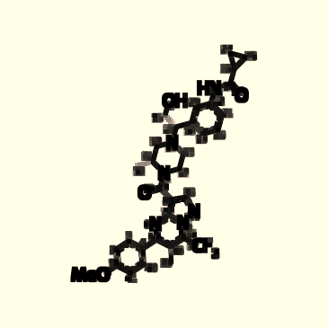 COc1ccc(-c2nc3c(C(=O)N4CCN([C@H](CO)c5cccc(NC(=O)C6CC6)c5)C[C@H]4C)cnn3c(C(F)(F)F)c2C)cc1